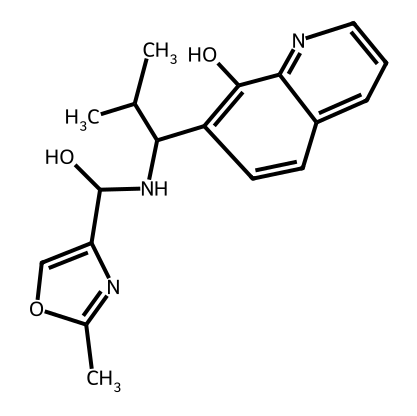 Cc1nc(C(O)NC(c2ccc3cccnc3c2O)C(C)C)co1